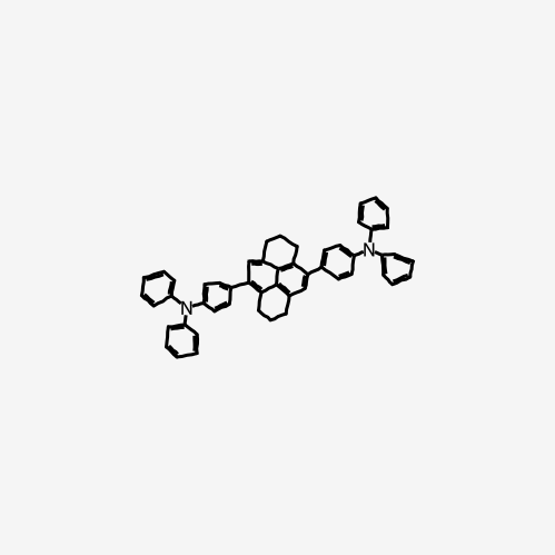 c1ccc(N(c2ccccc2)c2ccc(-c3cc4c5c(c(-c6ccc(N(c7ccccc7)c7ccccc7)cc6)cc6c5c3CCC6)CCC4)cc2)cc1